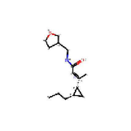 CCC[C@@H]1C[C@H]1/C(C)=C/C(=O)NCC1CCOC1